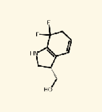 OC[C@@H]1CNC2=C1C=CCC2(F)F